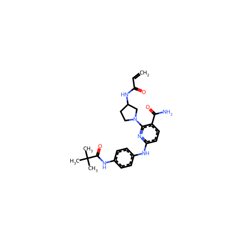 C=CC(=O)NC1CCN(c2nc(Nc3ccc(NC(=O)C(C)(C)C)cc3)ccc2C(N)=O)C1